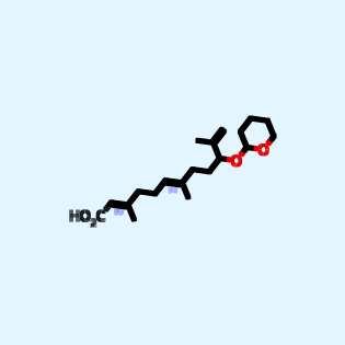 C=C(C)C(CC/C(C)=C/CC/C(C)=C/C(=O)O)OC1CCCCO1